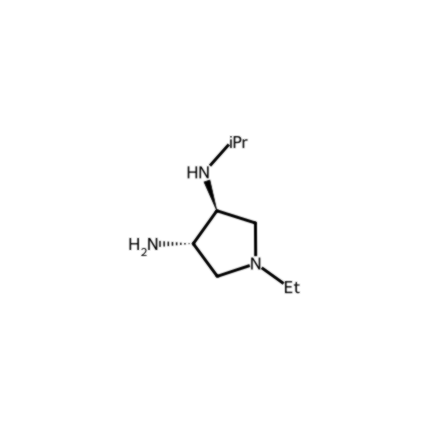 CCN1C[C@H](NC(C)C)[C@@H](N)C1